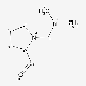 CN(C)CN1CCCC1[C]=O